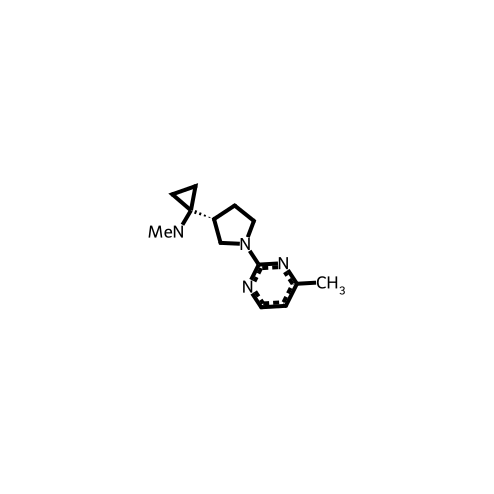 CNC1([C@@H]2CCN(c3nccc(C)n3)C2)CC1